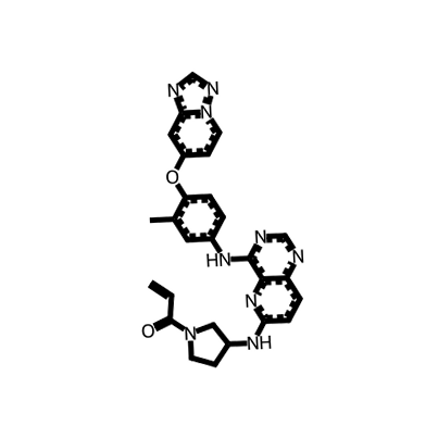 C=CC(=O)N1CCC(Nc2ccc3ncnc(Nc4ccc(Oc5ccn6ncnc6c5)c(C)c4)c3n2)C1